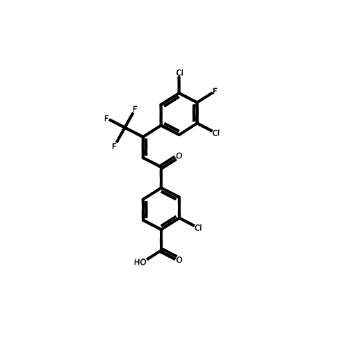 O=C(/C=C(\c1cc(Cl)c(F)c(Cl)c1)C(F)(F)F)c1ccc(C(=O)O)c(Cl)c1